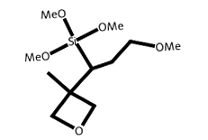 COCCC(C1(C)COC1)[Si](OC)(OC)OC